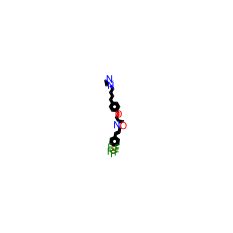 FS(F)(F)(F)(F)c1ccc(C=Cc2nc(COc3ccc(CCCCn4ccnc4)cc3)co2)cc1